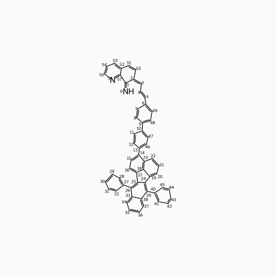 N=C1/C(=C\C=C\c2ccc(-c3ccc(-c4ccc5c6c(cccc46)-c4c-5c(-c5ccccc5)c5ccccc5c4-c4ccccc4)cc3)cc2)C=Cc2cccnc21